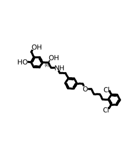 OCc1cc([C@@H](O)CNCCc2cccc(COCCCCc3c(Cl)cccc3Cl)c2)ccc1O